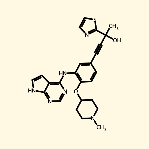 CN1CCC(Oc2ccc(C#CC(C)(O)c3nccs3)cc2Nc2ncnc3[nH]ccc23)CC1